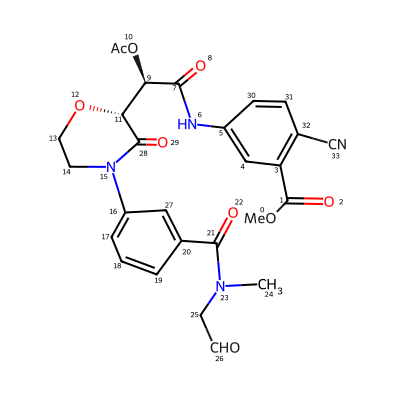 COC(=O)c1cc(NC(=O)[C@H](OC(C)=O)[C@H]2OCCN(c3cccc(C(=O)N(C)CC=O)c3)C2=O)ccc1C#N